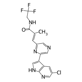 C/C(=C\c1cncc(-c2c[nH]c3ncc(Cl)cc23)n1)C(=O)NCC(F)(F)F